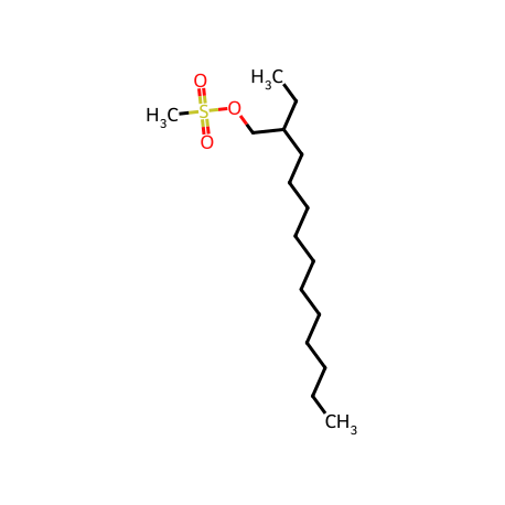 CCCCCCCCCCCC(CC)COS(C)(=O)=O